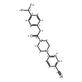 N#Cc1ccc(N2CCN(C(=O)Cc3ccc(C(F)F)cc3)CC2)nn1